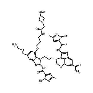 CCn1nc(C)cc1C(=O)Nc1nc2cc(COCN)cc(OCCCNC(=O)CN3CC(OC)C3)c2n1CCC[C@H]1COc2cc(C(N)=O)cc3nc(NC(=O)c4cc(C)nn4CC)n1c23